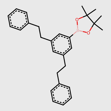 CC1(C)OB(c2cc(CCc3ccccc3)cc(CCc3ccccc3)c2)OC1(C)C